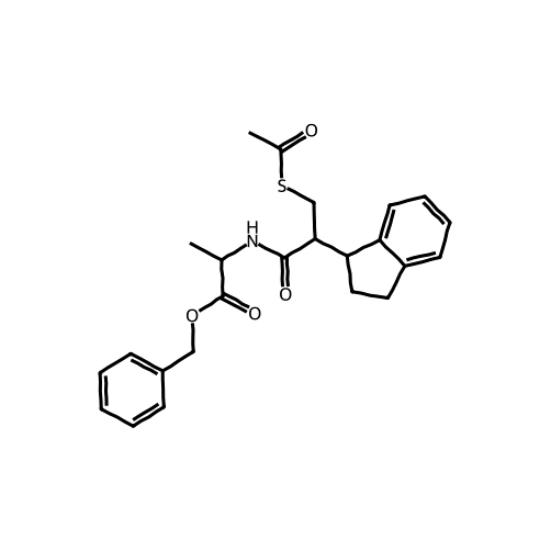 CC(=O)SCC(C(=O)NC(C)C(=O)OCc1ccccc1)C1CCc2ccccc21